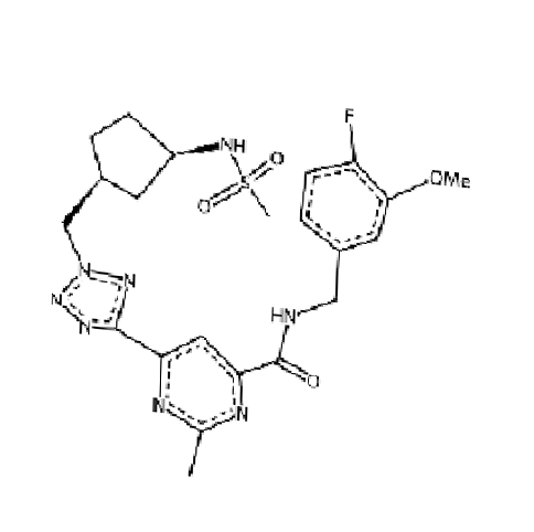 COc1cc(CNC(=O)c2cc(-c3nnn(C[C@H]4CC[C@@H](NS(C)(=O)=O)C4)n3)nc(C)n2)ccc1F